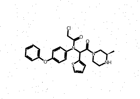 C[C@@H]1CN(C(=O)C(c2cccs2)N(C(=O)CCl)c2ccc(Oc3ccccc3)cc2)CCN1